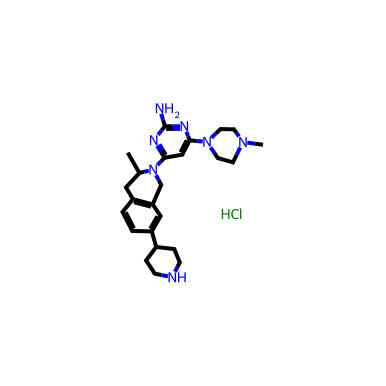 CC1Cc2ccc(C3CCNCC3)cc2CN1c1cc(N2CCN(C)CC2)nc(N)n1.Cl